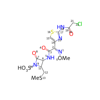 CON=C(C(=O)NC1C(=O)N(S(=O)(=O)O)C1CSC)c1csc(NC(=O)CCl)n1